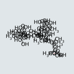 CCC(OC1OCC(O)C(OC2OCC(O)(CO)C2O)C1O)C(O)C(O)C(O)OC1C(OC(=O)[C@]23CCC(C)(C)CC2C2=CCC4[C@@]5(C)CC[C@H](OC6OC(C(=O)O)C(O)C(OC(O)C(O)C(O)C(C)O)C6OC(O)C(O)C(O)C(O)CCO)[C@@](C)(C=O)C5CC[C@@]4(C)[C@]2(C)C[C@H]3O)OC(C)C(O)C1OC(=O)C[C@@H](O)C[C@H](OC(=O)C[C@@H](O)C[C@H](OC1OC(CO)C(O)C1O)[C@@H](C)CC)[C@@H](C)CC